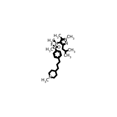 Cc1c(N(C)S(C)(=O)(F)c2ccc(CCCC3CCN(C)CC3)cc2)c(CC(C)C)nn1C